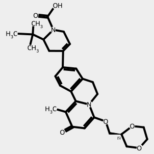 Cc1c2n(c(OC[C@@H]3COCCO3)cc1=O)CCc1cc(C3=CCN(C(=O)O)C(C(C)(C)C)C3)ccc1-2